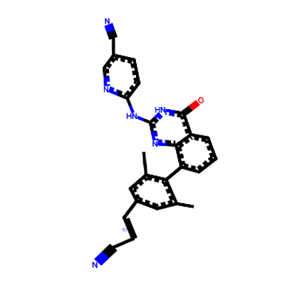 Cc1cc(/C=C/C#N)cc(C)c1-c1cccc2c(=O)[nH]c(Nc3ccc(C#N)cn3)nc12